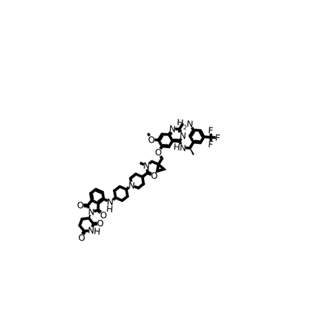 COc1cc2nc(C)nc(N[C@H](C)c3cc(N)cc(C(F)(F)F)c3)c2cc1OCC1(CN(C)C(=O)C2CCN(C3CCC(Nc4cccc5c4C(=O)N([C@@H]4CCC(=O)NC4=O)C5=O)CC3)CC2)CC1